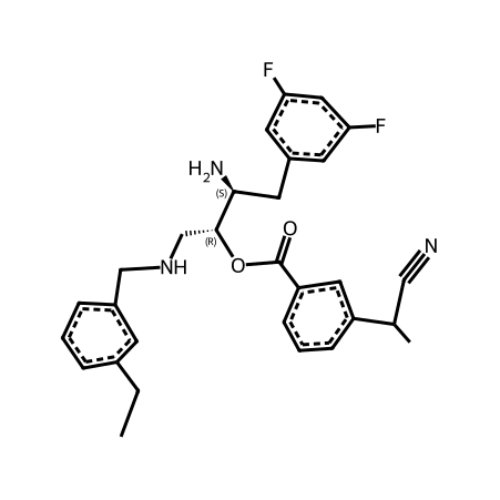 CCc1cccc(CNC[C@@H](OC(=O)c2cccc(C(C)C#N)c2)[C@@H](N)Cc2cc(F)cc(F)c2)c1